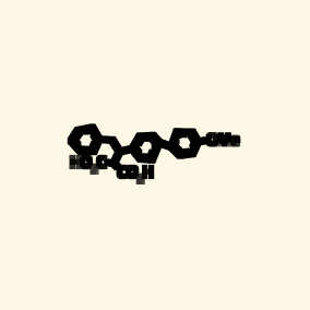 COc1ccc(-c2ccc(C(Cc3ccccc3)C(C(=O)O)C(=O)O)cc2)cc1